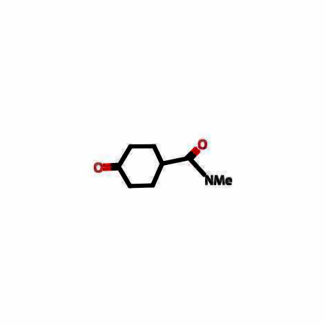 CNC(=O)C1CCC(=O)CC1